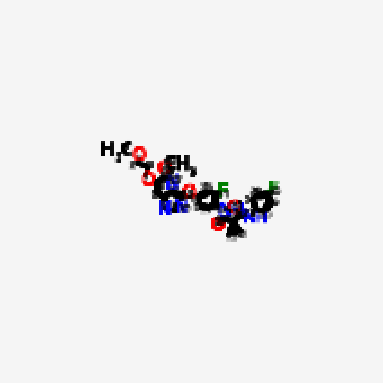 COCCOc1cc2ncnc(Oc3ccc(NC(=O)C4(C(=O)Nc5ccc(F)cc5)CC4)c(F)c3)c2nc1OC